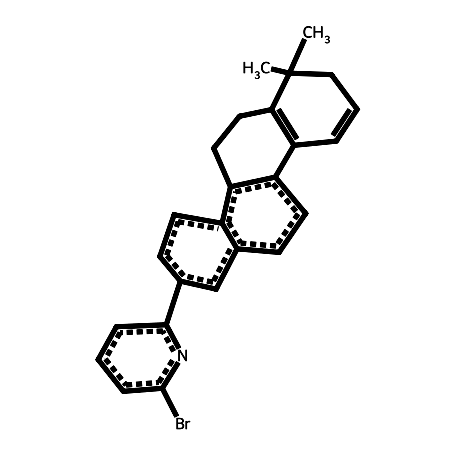 CC1(C)CC=CC2=C1CCc1c2ccc2cc(-c3cccc(Br)n3)ccc12